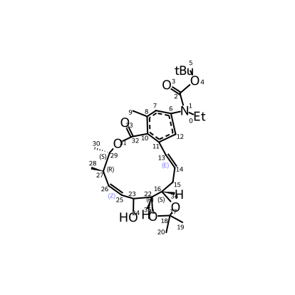 CCN(C(=O)OC(C)(C)C)c1cc(C)c2c(c1)/C=C/C[C@@H]1OC(C)(C)O[C@@H]1C(O)/C=C\[C@@H](C)[C@H](C)OC2=O